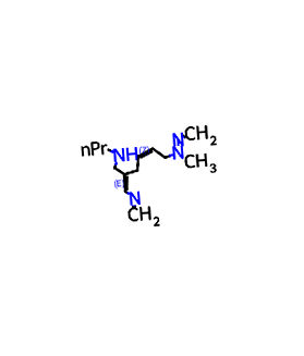 C=N/C=C(\C/C=C\CN(C)N=C)CNCCC